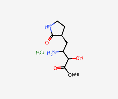 COC(=O)C(O)C(N)C[C@@H]1CCNC1=O.Cl